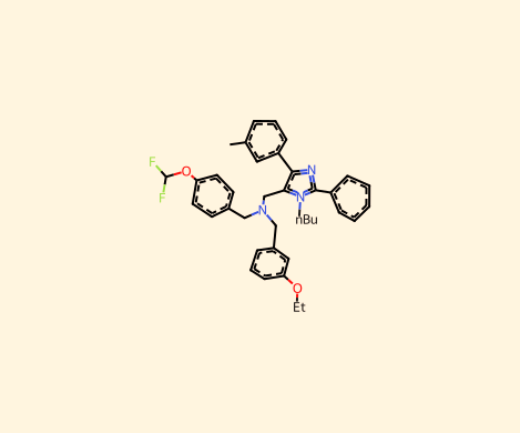 CCCCn1c(-c2ccccc2)nc(-c2cccc(C)c2)c1CN(Cc1ccc(OC(F)F)cc1)Cc1cccc(OCC)c1